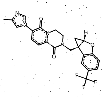 Cc1cn(-c2ccc3n(c2=O)CCN(C[C@@]24C[C@@H]2Oc2ccc(C(F)(F)F)cc24)C3=O)cn1